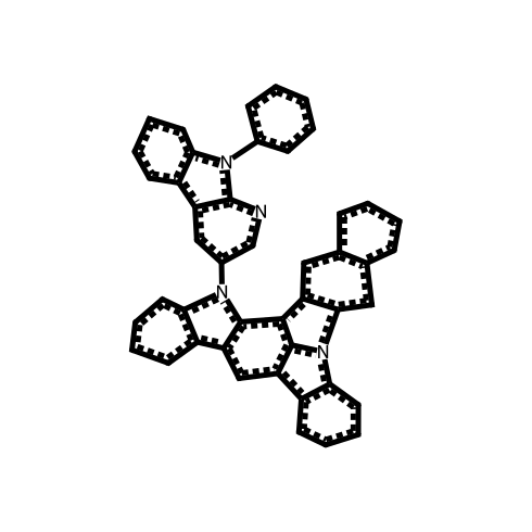 c1ccc(-n2c3ccccc3c3cc(-n4c5ccccc5c5cc6c7ccccc7n7c8cc9ccccc9cc8c(c54)c67)cnc32)cc1